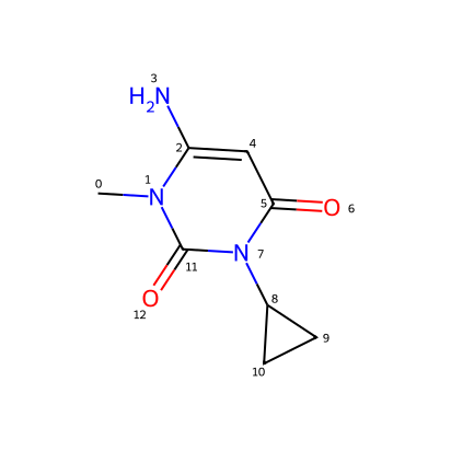 Cn1c(N)cc(=O)n(C2CC2)c1=O